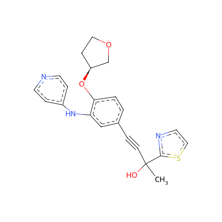 CC(O)(C#Cc1ccc(O[C@H]2CCOC2)c(Nc2ccncc2)c1)c1nccs1